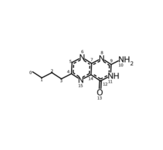 CCCCc1cnc2nc(N)[nH]c(=O)c2n1